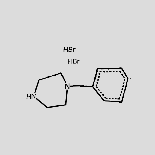 Br.Br.[c]1ccc(N2CCNCC2)cc1